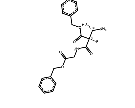 C[C@H](N)[C@@](F)(C(=O)NCC(=O)OCc1ccccc1)C(=O)OCc1ccccc1